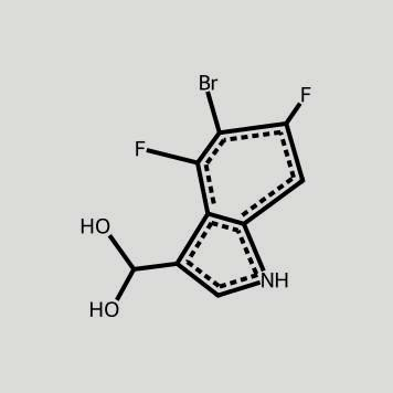 OC(O)c1c[nH]c2cc(F)c(Br)c(F)c12